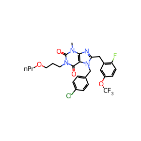 CCCOCCCn1c(=O)c2c(nc(Cc3cc(OC(F)(F)F)ccc3F)n2Cc2ccc(Cl)cc2)n(C)c1=O